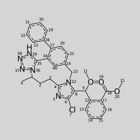 CCCCc1nc(Cl)c(C(OC)c2ccccc2C(=O)OC)n1Cc1ccc(-c2ccccc2)c(-c2nnn[nH]2)c1